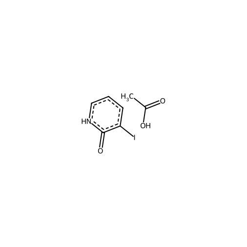 CC(=O)O.O=c1[nH]cccc1I